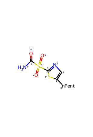 CC[CH]CCc1cnc(S(=O)(=O)C(N)=O)s1